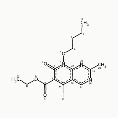 CCCCOn1c(=O)c(C(=O)OCC)c(I)c2cnc(C)nc21